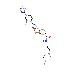 O=C(NCCCN1CCC(F)CC1)c1ccc2c(c1)sc1nc(-c3ccc(-c4ccn[nH]4)cc3F)cn12